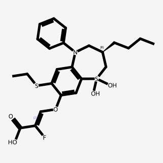 CCCC[C@@H]1CN(c2ccccc2)c2cc(SCC)c(O/C=C(\F)C(=O)O)cc2S(O)(O)C1